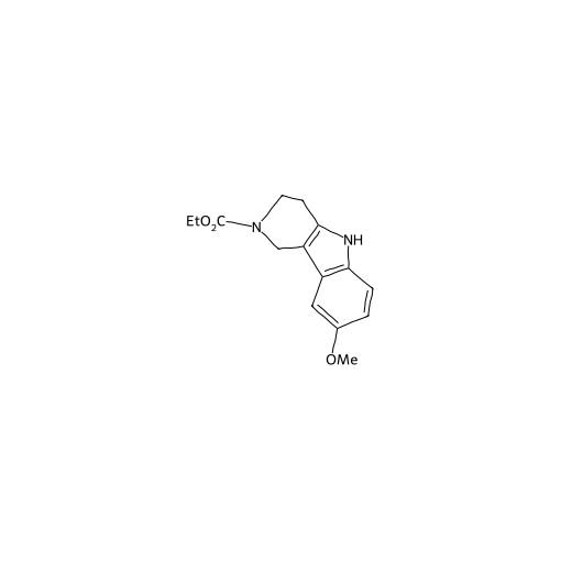 CCOC(=O)N1CCc2[nH]c3ccc(OC)cc3c2C1